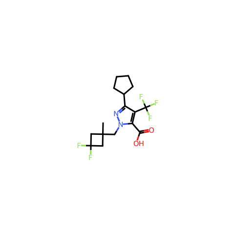 CC1(Cn2nc(C3CCCC3)c(C(F)(F)F)c2C(=O)O)CC(F)(F)C1